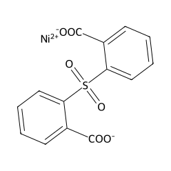 O=C([O-])c1ccccc1S(=O)(=O)c1ccccc1C(=O)[O-].[Ni+2]